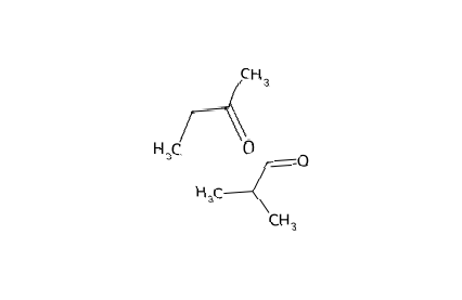 CC(C)C=O.CCC(C)=O